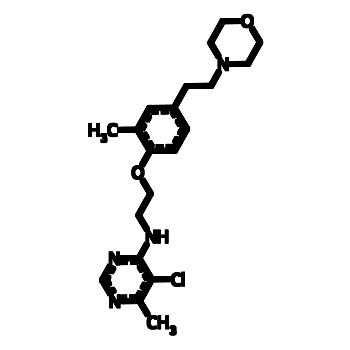 Cc1cc(CCN2CCOCC2)ccc1OCCNc1ncnc(C)c1Cl